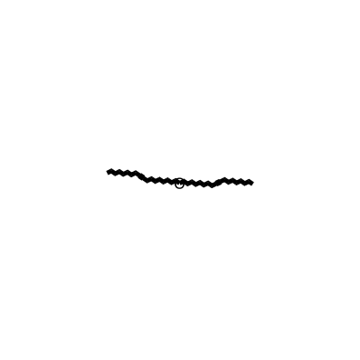 CCCCCCCCC#CCCCCCCCCOCCCCCCCCC#CCCCCCCCC